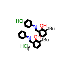 CC(C)(C)c1cccc(C=Nc2ccccc2)c1O.CC(C)(C)c1cccc(C=Nc2ccccc2)c1O.Cl.Cl.[Hf]